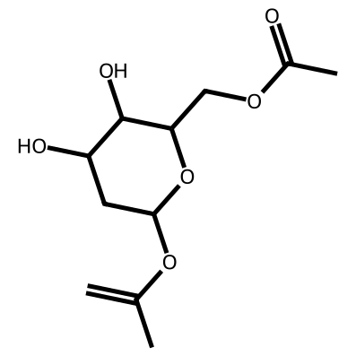 C=C(C)OC1CC(O)C(O)C(COC(C)=O)O1